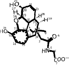 C[N+]1(CC(=O)NCC(=O)[O-])CC[C@]23c4c5ccc(O)c4O[C@H]2[C@@H](O)C=C[C@H]3[C@H]1C5